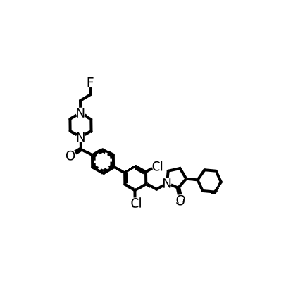 O=C(c1ccc(C2=CC(Cl)C(CN3CCC(C4CCCCC4)C3=O)C(Cl)=C2)cc1)N1CCN(CCF)CC1